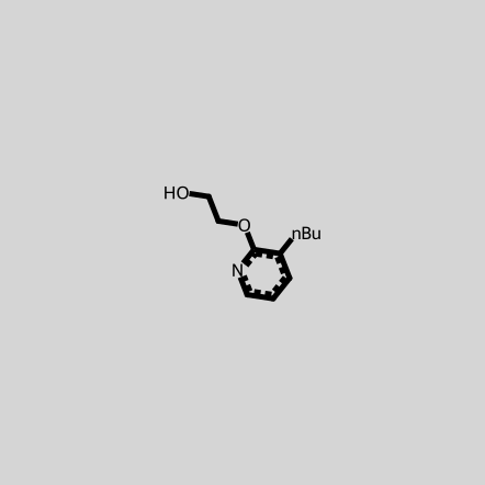 CCCCc1cccnc1OCCO